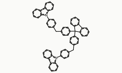 c1ccc2c(c1)-c1ccccc1C2(c1ccc(Cc2ccc(-n3c4ccccc4c4ccccc43)cc2)cc1)c1ccc(Cc2ccc(-n3c4ccccc4c4ccccc43)cc2)cc1